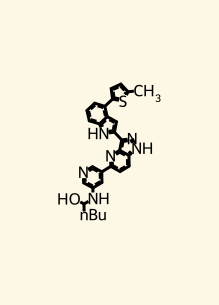 CCCCC(O)Nc1cncc(-c2ccc3[nH]nc(-c4cc5c(-c6ccc(C)s6)cccc5[nH]4)c3n2)c1